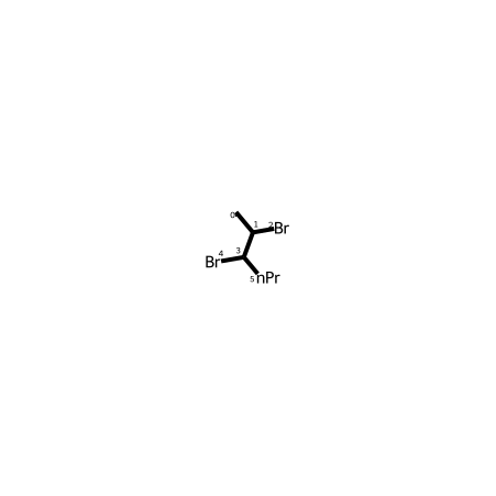 [CH2]C(Br)C(Br)CCC